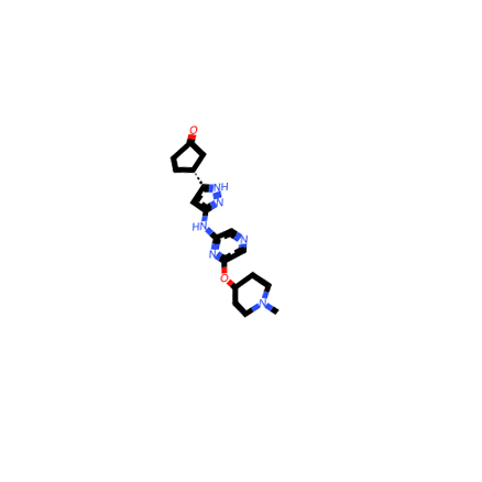 CN1CCC(Oc2cncc(Nc3cc([C@@H]4CCC(=O)C4)[nH]n3)n2)CC1